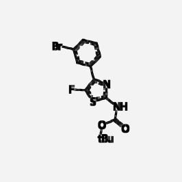 CC(C)(C)OC(=O)Nc1nc(-c2cccc(Br)c2)c(F)s1